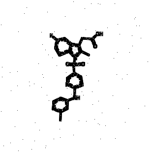 Cc1cccc(Nc2ccc(S(=O)(=O)n3c(C)c(CC(=O)O)c4cc(F)ccc43)cn2)c1